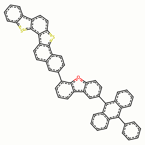 c1ccc(-c2c3ccccc3c(-c3ccc4oc5c(-c6ccc7c(ccc8c7sc7ccc9c%10ccccc%10sc9c78)c6)cccc5c4c3)c3ccccc23)cc1